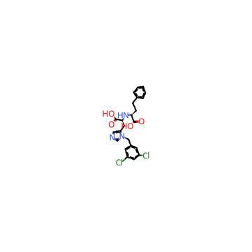 O=C(O)[C@H](CCc1ccccc1)N[C@@H](Cc1cncn1Cc1cc(Cl)cc(Cl)c1)C(=O)O